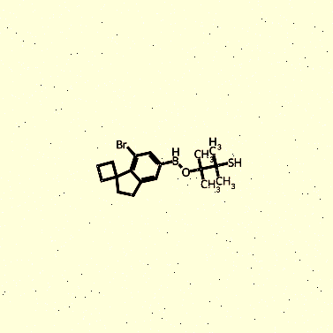 CC(C)(S)C(C)(C)OBc1cc(Br)c2c(c1)CCC21CCC1